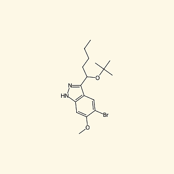 CCCCC(OC(C)(C)C)c1n[nH]c2cc(OC)c(Br)cc12